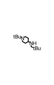 CC(C)(C)CNC1CCN(C(C)(C)C)CC1